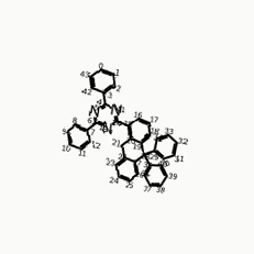 c1ccc(-c2nc(-c3ccccc3)nc(-c3cccc4c3Cc3ccccc3C4(c3ccccc3)c3ccccc3)n2)cc1